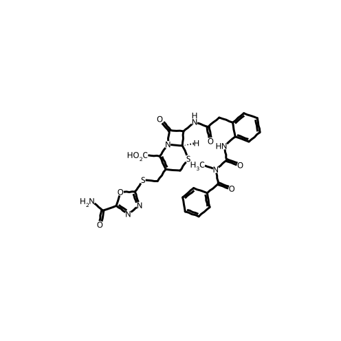 CN(C(=O)Nc1ccccc1CC(=O)NC1C(=O)N2C(C(=O)O)=C(CSc3nnc(C(N)=O)o3)CS[C@H]12)C(=O)c1ccccc1